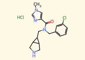 Cl.Cn1cnc(C(=O)N(Cc2cccc(Cl)c2)CC2C3CNCC32)c1